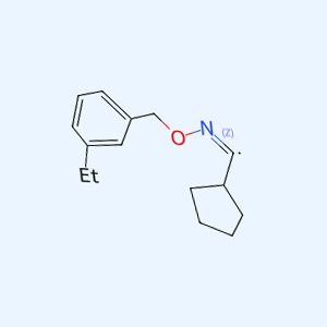 CCc1cccc(CO/N=[C]\C2CCCC2)c1